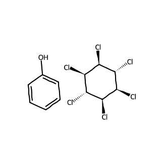 Cl[C@H]1[C@H](Cl)[C@@H](Cl)[C@@H](Cl)[C@H](Cl)[C@H]1Cl.Oc1ccccc1